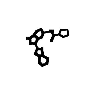 O=C(Nc1ccc2[nH]nc(-c3cc4ccccc4s3)c2c1)C1CCCC1